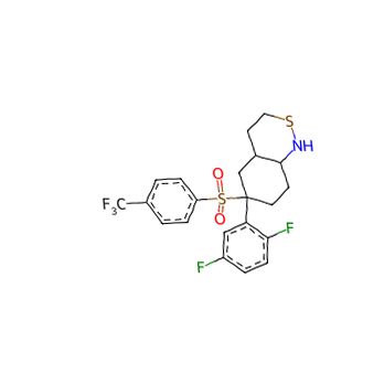 O=S(=O)(c1ccc(C(F)(F)F)cc1)C1(c2cc(F)ccc2F)CCC2NSCCC2C1